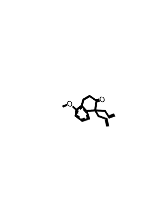 C=CCC1(CC=C)C(=O)CCc2c(OC)cccc21